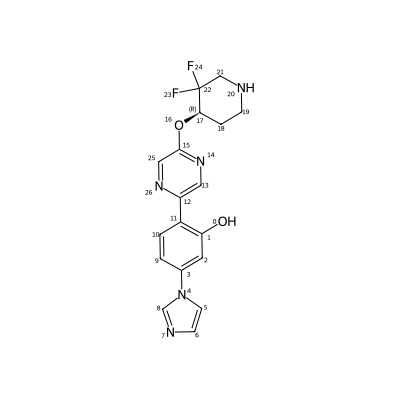 Oc1cc(-n2ccnc2)ccc1-c1cnc(O[C@@H]2CCNCC2(F)F)cn1